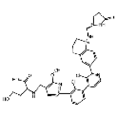 COc1nc(-c2cccc(-c3ccnc(-c4ccc5c(c4)CCC[C@@H]5NC[C@H]4CCC(=O)N4)c3Cl)c2Cl)ccc1CNC(CCO)C(=O)O